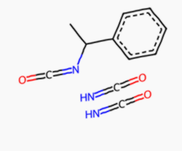 CC(N=C=O)c1ccccc1.N=C=O.N=C=O